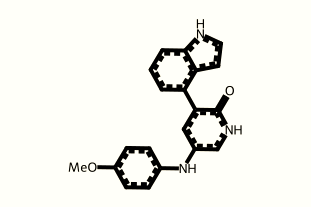 COc1ccc(Nc2c[nH]c(=O)c(-c3cccc4[nH]ccc34)c2)cc1